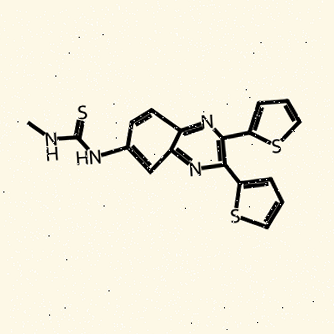 CNC(=S)Nc1ccc2nc(-c3cccs3)c(-c3cccs3)nc2c1